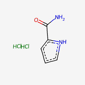 Cl.Cl.NC(=O)c1ccc[nH]1